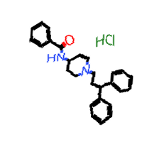 Cl.O=C(NC1CCN(CCC(c2ccccc2)c2ccccc2)CC1)c1ccccc1